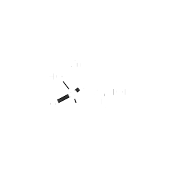 O=S(=O)(O)O.[BaH2].[CaH2].[Zn]